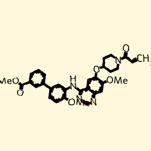 C=CC(=O)N1CCC(Oc2cc3c(Nc4cc(-c5cccc(C(=O)OC)c5)ccc4OC)ncnc3cc2OC)CC1